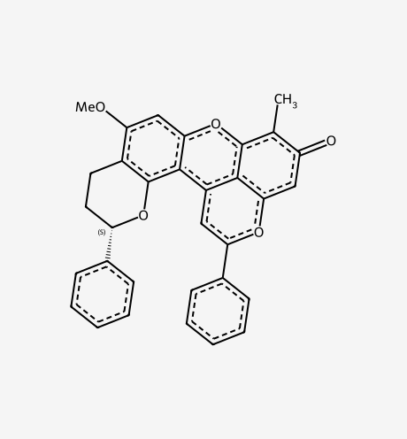 COc1cc2oc3c(C)c(=O)cc4oc(-c5ccccc5)cc(c2c2c1CC[C@@H](c1ccccc1)O2)c43